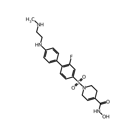 CNCCNc1ccc(-c2ccc(S(=O)(=O)N3CC=C(C(=O)NO)CC3)cc2F)cc1